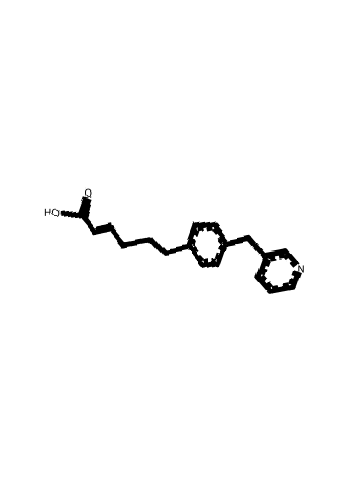 O=C(O)C=CCCCc1ccc(Cc2cccnc2)cc1